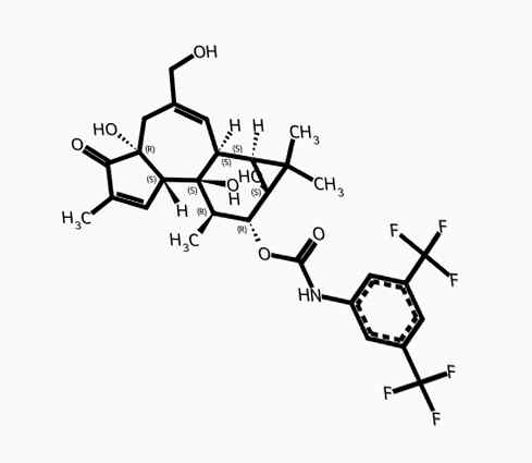 CC1=C[C@H]2[C@@]3(O)[C@H](C)[C@@H](OC(=O)Nc4cc(C(F)(F)F)cc(C(F)(F)F)c4)[C@]4(O)[C@@H]([C@@H]3C=C(CO)C[C@]2(O)C1=O)C4(C)C